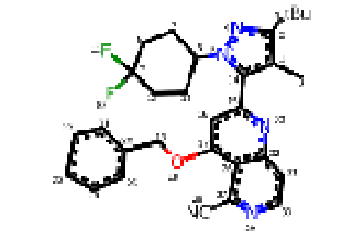 Cc1c(C(C)(C)C)nn(C2CCC(F)(F)CC2)c1-c1cc(OCc2ccccc2)c2c(C#N)nccc2n1